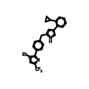 CCn1cc(C(F)(F)F)nc1-c1ccc(Cc2cc(-c3ccccc3C3CC3)c[nH]2)cc1